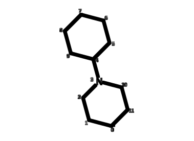 [CH]1CCN(C2CCCCC2)CC1